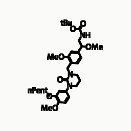 CCCCCOc1cc(N2CCCN(Cc3ccc(C(CNC(=O)OC(C)(C)C)OC)cc3OC)C2=O)ccc1OC